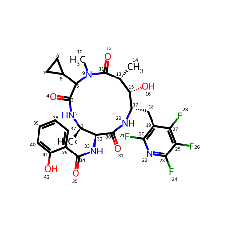 C[C@H]1NC(=O)C(C2CC2)N(C)C(=O)[C@H](C)[C@H](O)[C@H](Cc2c(F)nc(F)c(F)c2F)NC(=O)[C@H]1NC(=O)c1ccccc1O